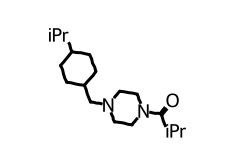 CC(C)C(=O)N1CCN(CC2CCC(C(C)C)CC2)CC1